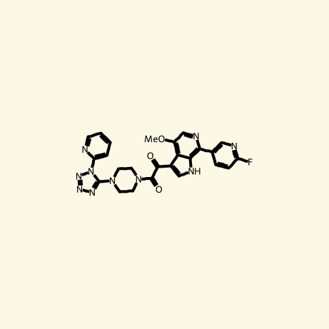 COc1cnc(-c2ccc(F)nc2)c2[nH]cc(C(=O)C(=O)N3CCN(c4nnnn4-c4ccccn4)CC3)c12